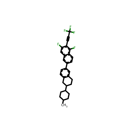 CC1CCC(C2CCc3cc(-c4ccc5c(F)c(C#CC(F)(F)F)c(F)cc5c4)ccc3C2)CC1